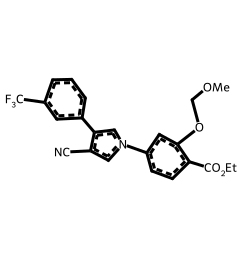 CCOC(=O)c1ccc(-n2cc(C#N)c(-c3cccc(C(F)(F)F)c3)c2)cc1OCOC